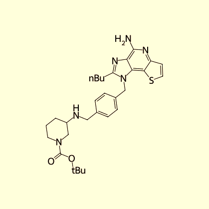 CCCCc1nc2c(N)nc3ccsc3c2n1Cc1ccc(CNC2CCCN(C(=O)OC(C)(C)C)C2)cc1